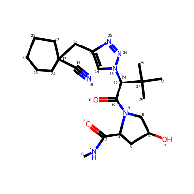 CNC(=O)C1CC(O)CN1C(=O)[C@@H](n1cc(CC2(C#N)CCCCC2)nn1)C(C)(C)C